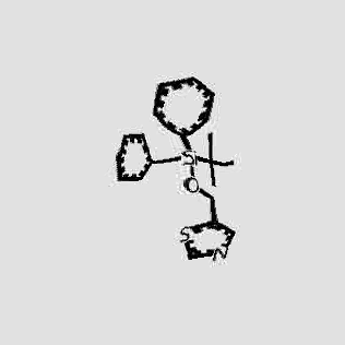 CC(C)(C)[Si](OCc1cncs1)(c1ccccc1)c1ccccc1